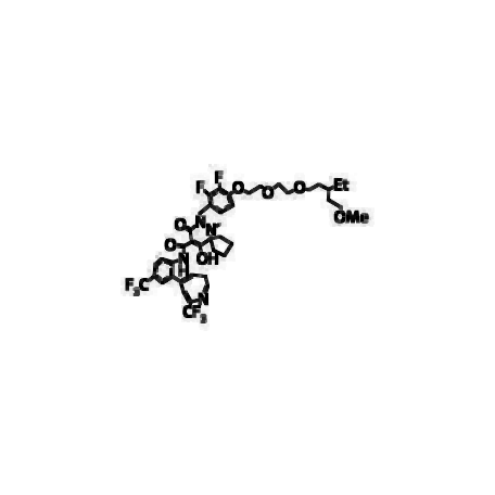 CCC(CCOC)CCOCCOCCOc1ccc(CN2C(=O)C(C(=O)Nc3ccc(C(F)(F)F)cc3C3=CCC=NC(C(F)(F)F)=C3)=C(O)C3(CCCC3)N2C)c(F)c1F